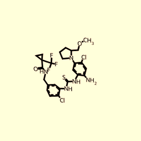 COCC1CCCN1c1cc(NC(=S)Nc2cc(CNC(=O)C3(C(F)(F)F)CC3)ccc2Cl)c(N)cc1Cl